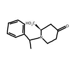 CC(c1ccccc1)N1CCC(=O)C[C@@H]1C(=O)O